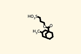 CC1CC2CCCC(C(=O)OCCCS(=O)(=O)O)(C1)C2